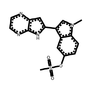 Cn1cc(-c2cc3nccnc3[nH]2)c2cc(OS(C)(=O)=O)ccc21